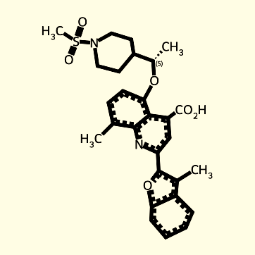 Cc1c(-c2cc(C(=O)O)c3c(O[C@@H](C)C4CCN(S(C)(=O)=O)CC4)ccc(C)c3n2)oc2ccccc12